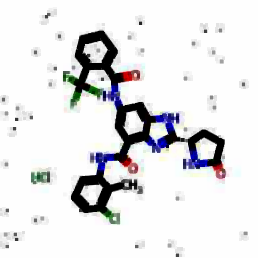 Cc1c(Cl)cccc1NC(=O)c1cc(NC(=O)c2ccccc2C(F)(F)F)cc2[nH]c([C@@H]3CCC(=O)N3)nc12.Cl